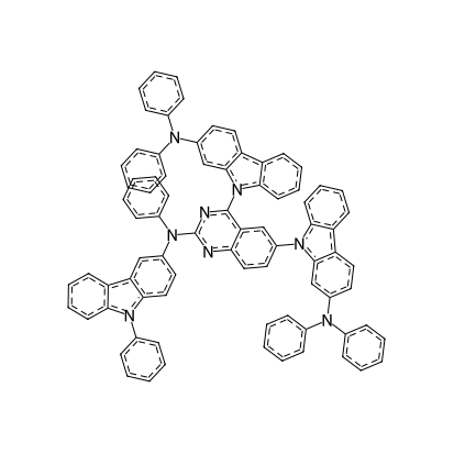 c1ccc(N(c2ccccc2)c2ccc3c4ccccc4n(-c4ccc5nc(N(c6ccccc6)c6ccc7c(c6)c6ccccc6n7-c6ccccc6)nc(-n6c7ccccc7c7ccc(N(c8ccccc8)c8ccccc8)cc76)c5c4)c3c2)cc1